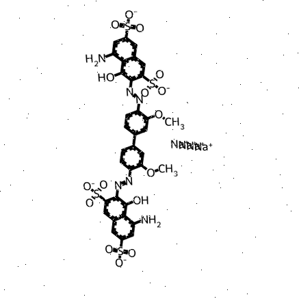 COc1cc(-c2ccc(N=Nc3c(S(=O)(=O)[O-])cc4cc(S(=O)(=O)[O-])cc(N)c4c3O)c(OC)c2)ccc1N=Nc1c(S(=O)(=O)[O-])cc2cc(S(=O)(=O)[O-])cc(N)c2c1O.[Na+].[Na+].[Na+].[Na+]